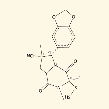 CN1C(=O)C2C[C@](C)(C#N)[C@H](c3ccc4c(c3)OCO4)N2C(=O)[C@@]1(C)SS